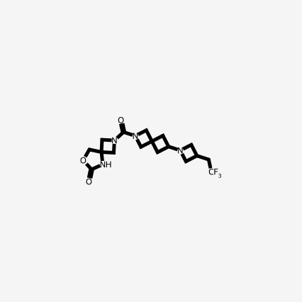 O=C1NC2(CO1)CN(C(=O)N1CC3(CC(N4CC(CC(F)(F)F)C4)C3)C1)C2